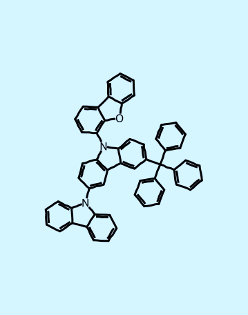 c1ccc(C(c2ccccc2)(c2ccccc2)c2ccc3c(c2)c2cc(-n4c5ccccc5c5ccccc54)ccc2n3-c2cccc3c2oc2ccccc23)cc1